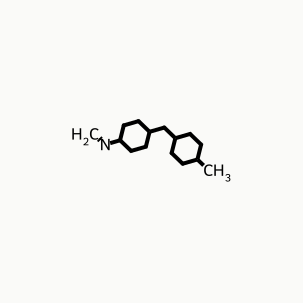 C=NC1CCC(CC2CCC(C)CC2)CC1